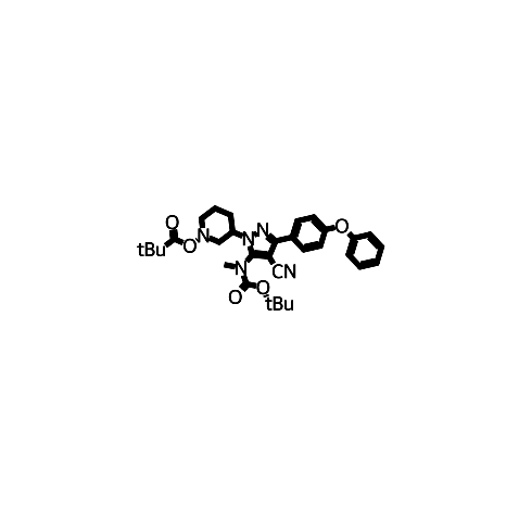 CN(C(=O)OC(C)(C)C)c1c(C#N)c(-c2ccc(Oc3ccccc3)cc2)nn1C1CCCN(OC(=O)C(C)(C)C)C1